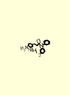 Nc1ccc(CCC(=O)N(c2ccccc2)c2ccccc2)cc1N